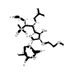 COCCO[C@@H]1[C@H](O)[C@@H]([C@H](OCC(C)C)[C@H](N=[N+]=[N-])P(C)(C)=O)O[C@H]1n1cc(C)c(=O)[nH]c1=O